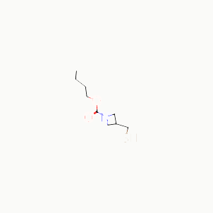 CCCCOC(=O)N1CC(CS)C1